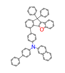 c1ccc(-c2ccc(N(c3ccc(-c4cccc5c4-c4oc6ccccc6c4C5(c4ccccc4)c4ccccc4)cc3)c3ccc4ccccc4c3)cc2)cc1